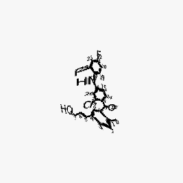 Cc1ccc(C=CCO)cc1C(=O)c1ccc(Nc2ccc(F)cc2F)cc1Cl